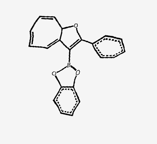 C1=CC=C2C(B3Oc4ccccc4O3)=C(c3ccccc3)OC2C=C1